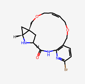 O=C1Nc2nc(Br)ccc2COCC=CCOC[C@@]23C[C@@H]1N[C@@H]2C3